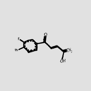 C=C(O)CCC(=O)c1ccc(Br)c(F)c1